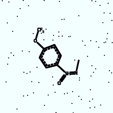 C/N=[SH](=O)\c1ccc(OC(F)(F)F)cc1